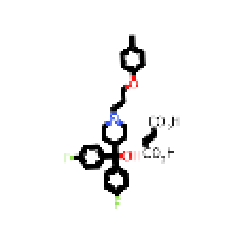 Cc1ccc(OCCCN2CCC(C(O)(c3ccc(F)cc3)c3ccc(F)cc3)CC2)cc1.O=C(O)C=CC(=O)O